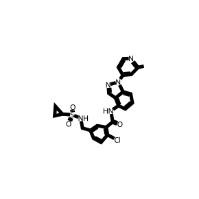 Cc1cc(-n2ncc3c(NC(=O)c4cc(CNS(=O)(=O)C5CC5)ccc4Cl)cccc32)ccn1